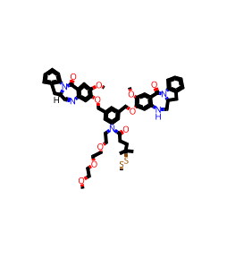 COCCOCCOCCN(C(=O)CCC(C)(C)SSC)c1cc(COc2cc3c(cc2OC)C(=O)N2c4ccccc4C[C@H]2C=N3)cc(COc2cc3c(cc2OC)C(=O)N2c4ccccc4CC2CN3)c1